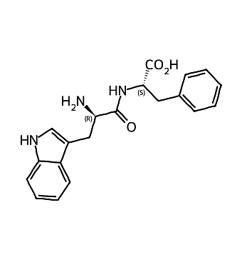 N[C@H](Cc1c[nH]c2ccccc12)C(=O)N[C@@H](Cc1ccccc1)C(=O)O